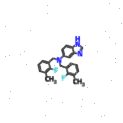 Cc1cccc(CN(Cc2cccc(C)c2F)c2ccc3[nH]cnc3c2)c1F